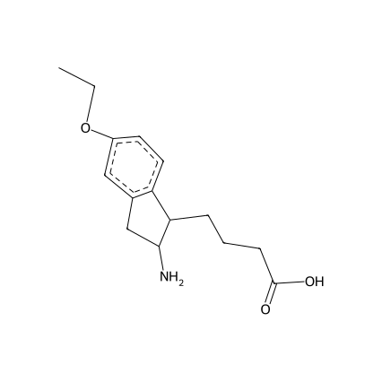 CCOc1ccc2c(c1)CC(N)C2CCCC(=O)O